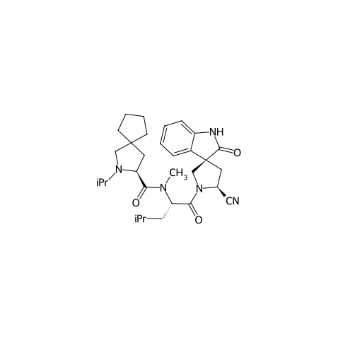 CC(C)C[C@@H](C(=O)N1C[C@]2(C[C@H]1C#N)C(=O)Nc1ccccc12)N(C)C(=O)[C@@H]1CC2(CCCC2)CN1C(C)C